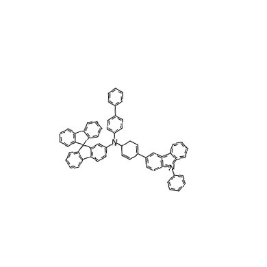 C1=CC(N(c2ccc(-c3ccccc3)cc2)c2ccc3c(c2)C2(c4ccccc4-c4ccccc42)c2ccccc2-3)CC=C1c1ccc2c(c1)c1ccccc1n2-c1ccccc1